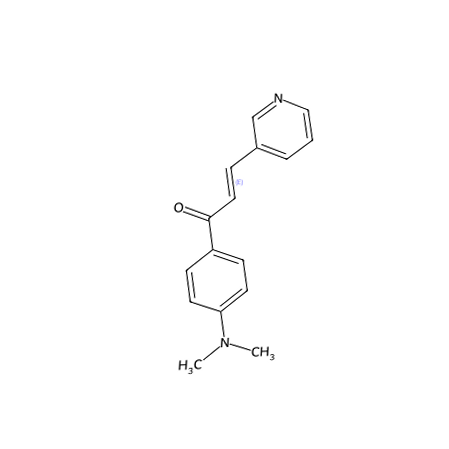 CN(C)c1ccc(C(=O)/C=C/c2cccnc2)cc1